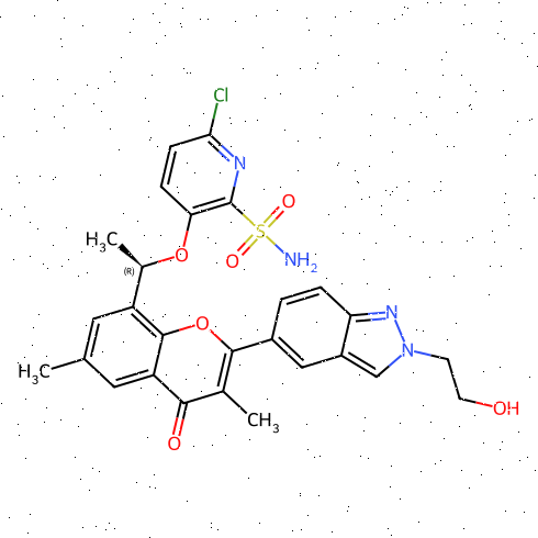 Cc1cc([C@@H](C)Oc2ccc(Cl)nc2S(N)(=O)=O)c2oc(-c3ccc4nn(CCO)cc4c3)c(C)c(=O)c2c1